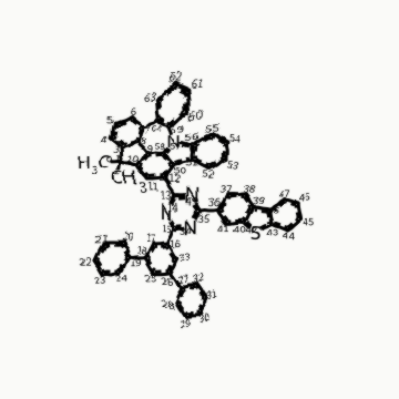 CC1(C)c2cccc3c2-c2c1cc(-c1nc(-c4cc(-c5ccccc5)cc(-c5ccccc5)c4)nc(-c4ccc5c(c4)sc4ccccc45)n1)c1c4ccccc4n(c21)-c1ccccc1-3